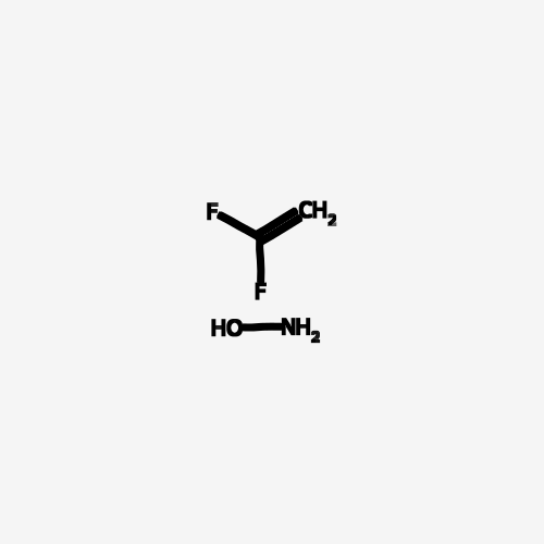 C=C(F)F.NO